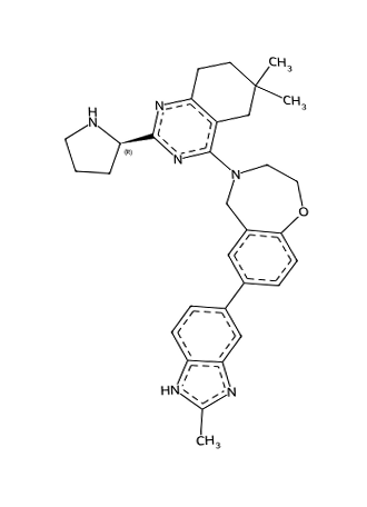 Cc1nc2cc(-c3ccc4c(c3)CN(c3nc([C@H]5CCCN5)nc5c3CC(C)(C)CC5)CCO4)ccc2[nH]1